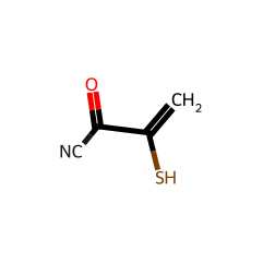 C=C(S)C(=O)C#N